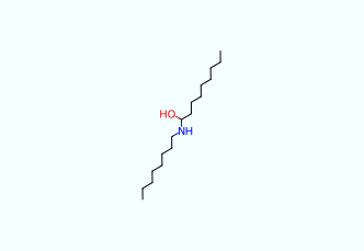 CCCCCCCCNC(O)CCCCCCCC